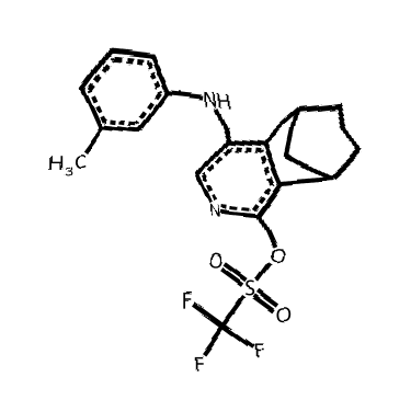 Cc1cccc(Nc2cnc(OS(=O)(=O)C(F)(F)F)c3c2C2CCC3C2)c1